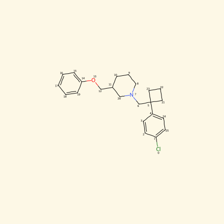 Clc1ccc(C2(CN3CCCC(COc4ccccc4)C3)CCC2)cc1